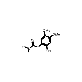 CCNC(=O)Oc1cc(OC)c(OC)cc1C#N